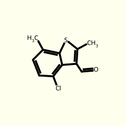 Cc1sc2c(C)ccc(Cl)c2c1C=O